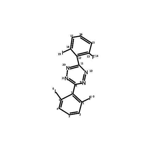 Fc1cccc(I)c1-c1nnc(-c2c(F)cccc2I)nn1